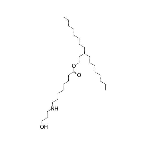 CCCCCCCCC(CCCCCCCC)CCOC(=O)CCCCCCCNCCCO